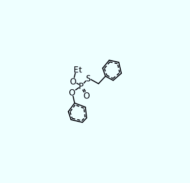 CCOP(=O)(Oc1ccccc1)SCc1ccccc1